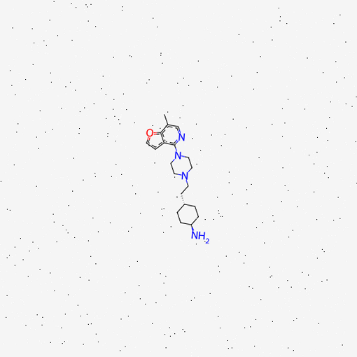 Cc1cnc(N2CCN(CC[C@H]3CC[C@H](N)CC3)CC2)c2ccoc12